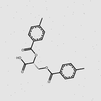 Cc1ccc(C(=O)OC[C@@H](OC(=O)c2ccc(C)cc2)C(=O)O)cc1